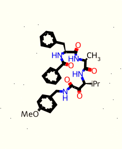 COc1ccc(CNC(=O)C(=O)[C@@H](NC(=O)[C@H](C)NC(=O)[C@H](Cc2ccccc2)NC(=O)c2ccccc2)C(C)C)cc1